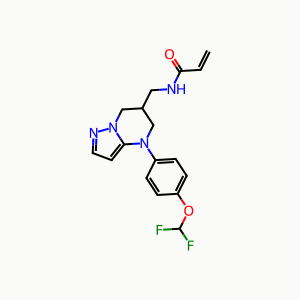 C=CC(=O)NCC1CN(c2ccc(OC(F)F)cc2)c2ccnn2C1